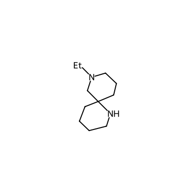 CCN1CCCC2(CCCCN2)C1